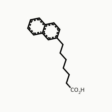 O=C(O)CCCCCCc1ccc2ccccc2c1